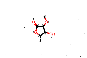 COC1C(=O)OC(C)C1O